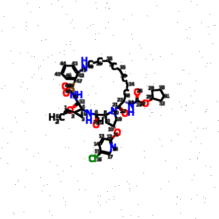 C=C[C@@H]1C[C@@]12NC(=O)[C@@H]1C[C@@H](Oc3ccc(Cl)cn3)CN1C(=O)[C@@H](NC(=O)OC1CCCC1)CCCCCCCCNc1ccccc1S(=O)(=O)NC2=O